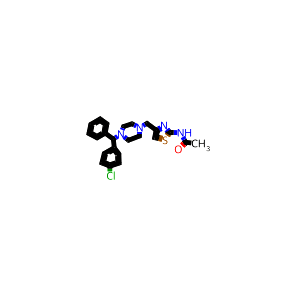 CC(=O)Nc1nc(CN2CCN(C(c3ccccc3)c3ccc(Cl)cc3)CC2)cs1